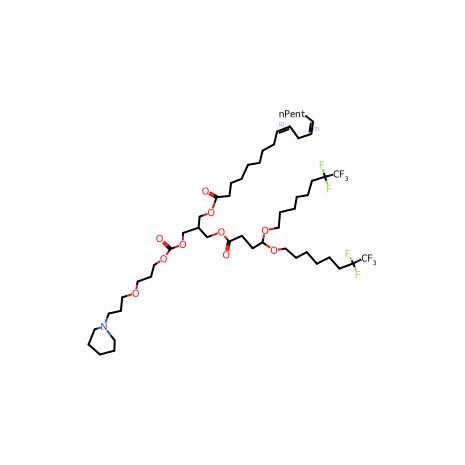 CCCCC/C=C\C/C=C\CCCCCCCC(=O)OCC(COC(=O)CCC(OCCCCCCC(F)(F)C(F)(F)F)OCCCCCCC(F)(F)C(F)(F)F)COC(=O)OCCCOCCCN1CCCCC1